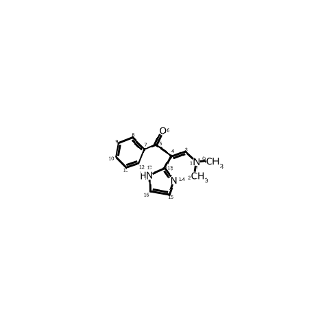 CN(C)/C=C(/C(=O)c1ccccc1)c1ncc[nH]1